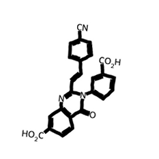 N#Cc1ccc(/C=C/c2nc3cc(C(=O)O)ccc3c(=O)n2-c2cccc(C(=O)O)c2)cc1